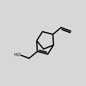 C=CC1CC2CC1C=C2CO